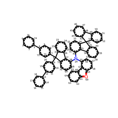 c1ccc(-c2ccc(C3(c4ccc(-c5ccccc5)cc4)c4ccccc4-c4c(N(c5cccc6c5-c5ccccc5C65c6ccccc6-c6ccccc65)c5cccc6oc7ccccc7c56)cccc43)cc2)cc1